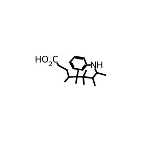 CC(Nc1ccccc1)C(C)C(C)(C)C(C)(C)C(C)CCC(=O)O